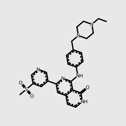 CCN1CCN(Cc2ccc(Nc3nc(-c4cncc(S(C)(=O)=O)c4)cc4cc[nH]c(=O)c34)cc2)CC1